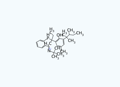 CCC(C)C(C)(C)c1cc(C)cc(C(C)(CC)Pc2ccccc2/C=N/C(C)(C)C)c1O